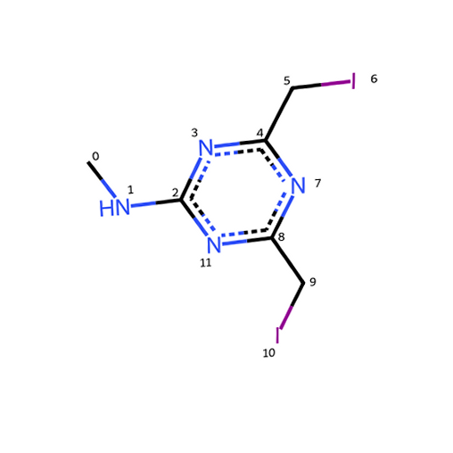 CNc1nc(CI)nc(CI)n1